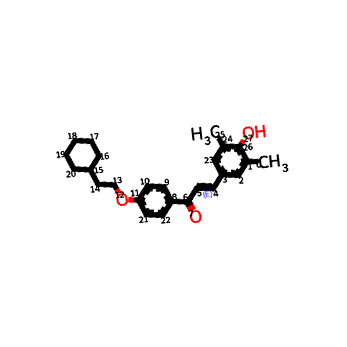 Cc1cc(/C=C/C(=O)c2ccc(OCCC3CCCCC3)cc2)cc(C)c1O